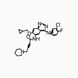 O=C(C#CCN1CCCCC1)Nc1cc2c(Nc3ccc(F)c(Cl)c3)ncnc2cc1OCC1CC1